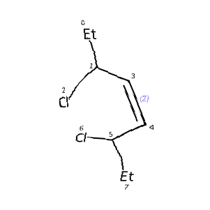 CCC(Cl)/C=C\C(Cl)CC